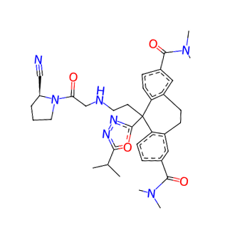 CC(C)c1nnc(C2(CCNCC(=O)N3CCC[C@H]3C#N)c3ccc(C(=O)N(C)C)cc3CCc3cc(C(=O)N(C)C)ccc32)o1